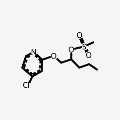 CCCC(COc1cc(Cl)ccn1)OS(C)(=O)=O